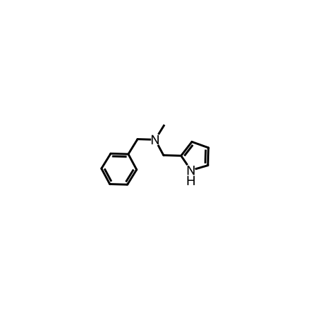 CN(Cc1ccccc1)Cc1ccc[nH]1